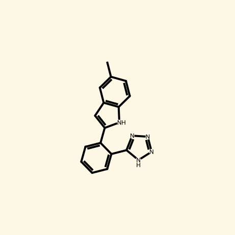 Cc1ccc2[nH]c(-c3ccccc3-c3nnn[nH]3)cc2c1